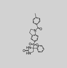 Cc1ccc(C(=O)N2CCc3cc(S(=O)(=O)C4(c5ccccc5)CNC(=O)N4)ccc32)cc1